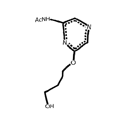 CC(=O)Nc1cncc(OCCCO)n1